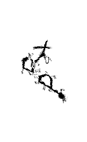 CC(C)(C)C(=O)N1N=CC[C@H]1c1ccc(C#N)cc1